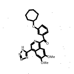 COc1cc2c(-c3nnn[nH]3)cnc(C(=O)c3cccc(OC4CCCCCC4)c3)c2cc1OC